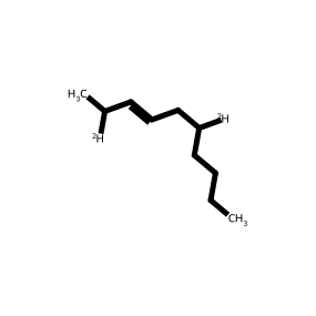 [2H]C(C)C=CCC([2H])CCCC